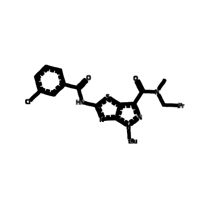 CC(C)CN(C)C(=O)c1nn(C(C)(C)C)c2nc(NC(=O)c3cccc(Cl)c3)sc12